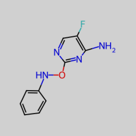 Nc1nc(ONc2ccccc2)ncc1F